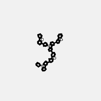 c1ccc(-n2c3ccccc3c3cc(-c4ccc5oc6ccc(-c7ccc8c(c7)c7cc(-c9ccc%10oc%11ccccc%11c%10c9)ccc7n8-c7ccc(-c8cccc9c8oc8ccccc89)cc7)cc6c5c4)ccc32)cc1